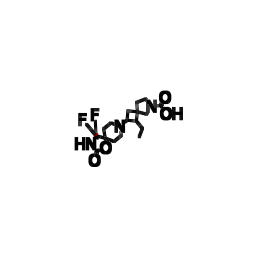 CCC1C(N2CCC3(CC2)OC(=O)NC32CC(F)(F)C2)CC12CCN(C(=O)O)C2